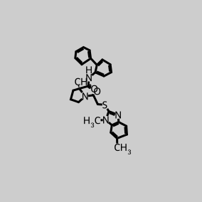 Cc1ccc2nc(SCC(=O)N3CCC[C@@]3(C)C(=O)Nc3ccccc3-c3ccccc3)n(C)c2c1